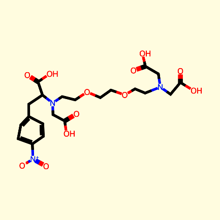 O=C(O)CN(CCOCCOCCN(CC(=O)O)C(Cc1ccc([N+](=O)[O-])cc1)C(=O)O)CC(=O)O